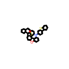 c1ccc(N(c2ccc3c(c2)sc2ccccc23)c2cccc3oc4ccc5c(sc6ccc7ccccc7c65)c4c23)cc1